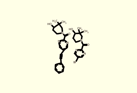 CC1(C)CN(C(=O)c2ncc(Br)cn2)CCC1O.CC1(C)CN(C(=O)c2ncc(C#Cc3ccccc3)cn2)CCC1O